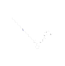 CCCCCCCC/C=C/CCCCCCCC(=O)NC1CCCC1OC(=O)CCNC(=O)C1OC(C)(C)OCC1(C)C